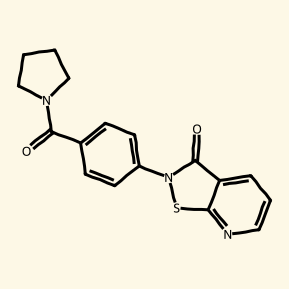 O=C(c1ccc(-n2sc3ncccc3c2=O)cc1)N1CCCC1